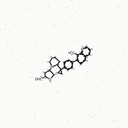 Cc1c(-c2ccc(C3(C4CCCCN4C4CO[C@@H](C=O)C4)CC3)cc2)ccc2cccnc12